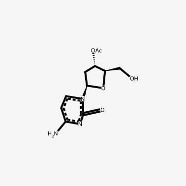 CC(=O)O[C@H]1C[C@H](n2ccc(N)nc2=O)O[C@@H]1CO